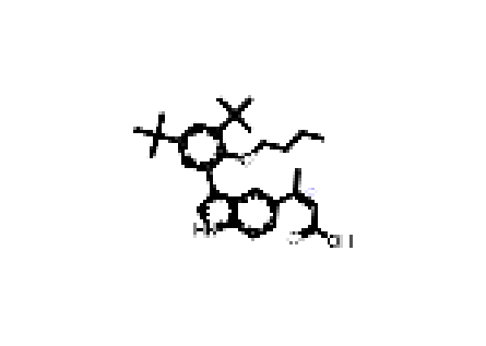 CCCCOc1c(-c2c[nH]c3ccc(/C(C)=C\C(=O)O)cc23)cc(C(C)(C)C)cc1C(C)(C)C